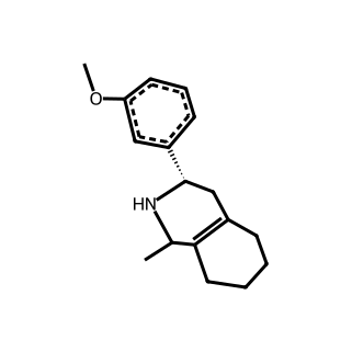 COc1cccc([C@@H]2CC3=C(CCCC3)C(C)N2)c1